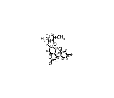 CN(C)C(=O)N(C)Cc1ccc2c(-c3ccc(F)cc3Cl)cc(=O)oc2c1